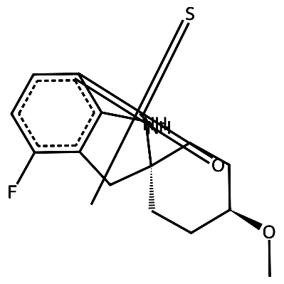 CO[C@H]1CC[C@]2(CC1)Cc1c(F)cccc1C21NC(=S)NC1=O